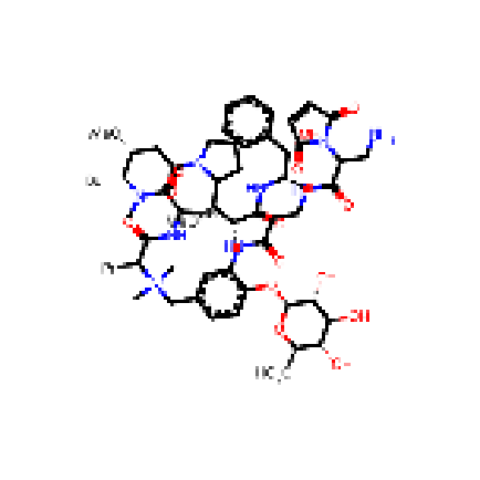 CC[C@H](C)[C@@H]([C@@H](CC(=O)N1CCCC1[C@H](OC)[C@@H](C)C(=O)N[C@H](C)[C@@H](O)c1ccccc1)OC)N(C)C(=O)C(NC(=O)C(C(C)C)[N+](C)(C)Cc1ccc(O[C@@H]2O[C@H](C(=O)O)[C@@H](O)[C@H](O)[C@H]2O)c(NC(=O)CCNC(=O)C(CN)N2C(=O)C=CC2=O)c1)C(C)C